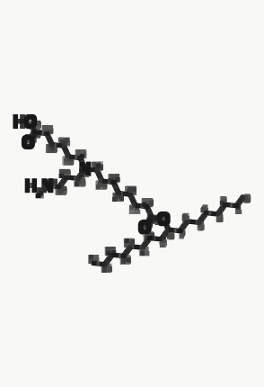 CCCCCCCCC(CCCCCCCC)OC(=O)CCCCCCCN(CCCN)CCCCCC(=O)O